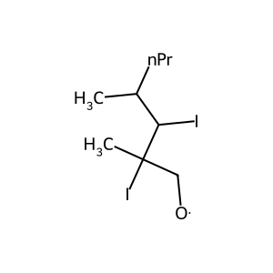 CCCC(C)C(I)C(C)(I)C[O]